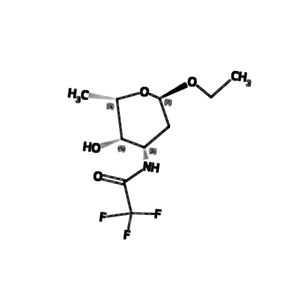 CCO[C@H]1C[C@H](NC(=O)C(F)(F)F)[C@H](O)[C@H](C)O1